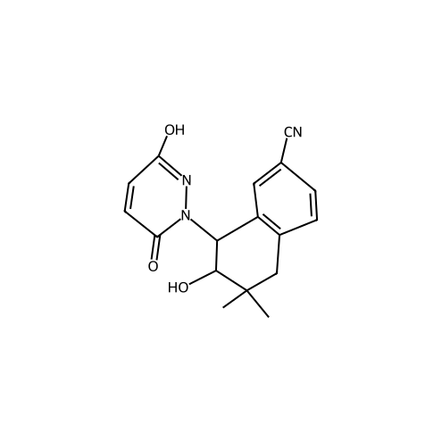 CC1(C)Cc2ccc(C#N)cc2C(n2nc(O)ccc2=O)C1O